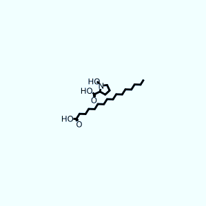 CCCCCCCCCCCCCCCC(=O)O.O=C(O)C1CCCN1O